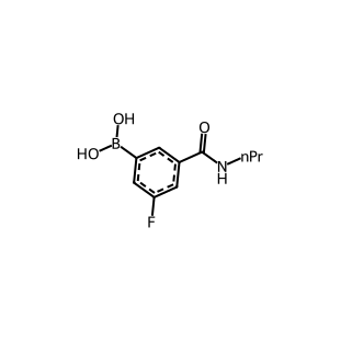 CCCNC(=O)c1cc(F)cc(B(O)O)c1